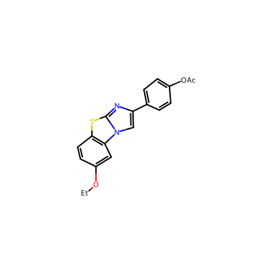 CCOc1ccc2sc3nc(-c4ccc(OC(C)=O)cc4)cn3c2c1